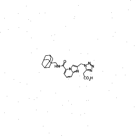 O=C(O)Cc1nnnn1Cc1cn2c(C(=O)NCC34CC5CC(CC(C5)C3)C4)cccc2n1